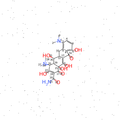 CN(C)c1ccc(O)c2c1CC1C(=C(O)[C@]3(O)C(=O)C(C(N)=O)=C(O)[C@@H](N(C)C)C3[C@H]1O)C2=O